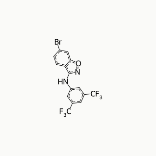 FC(F)(F)c1cc(Nc2noc3cc(Br)ccc23)cc(C(F)(F)F)c1